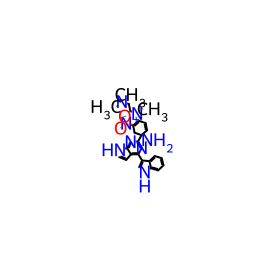 CN(C)CCN(C)C1=C([N+](=O)[O-])CC(N)(c2nc(-c3c[nH]c4ccccc34)c3cc[nH]c3n2)C=C1